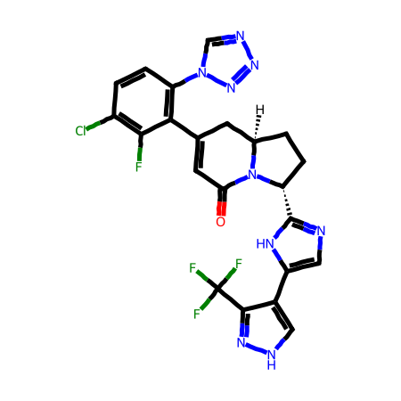 O=C1C=C(c2c(-n3cnnn3)ccc(Cl)c2F)C[C@H]2CC[C@H](c3ncc(-c4c[nH]nc4C(F)(F)F)[nH]3)N12